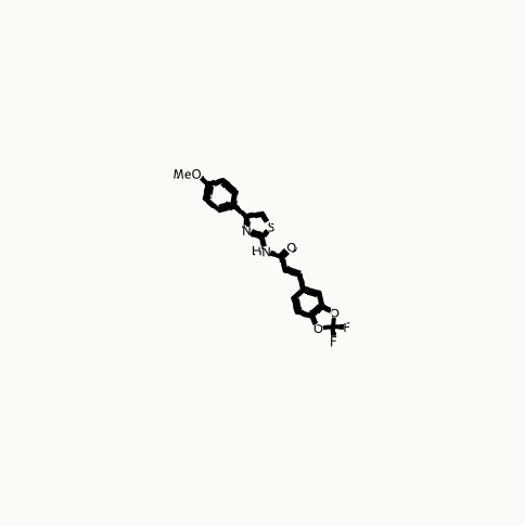 COc1ccc(C2CSC(NC(=O)/C=C/c3ccc4c(c3)OC(F)(F)O4)=N2)cc1